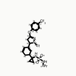 CCCNS(=O)(=O)NC1(C2C=C(C3CC(Oc4ccc(C(F)(F)F)cc4)=NN3CC)C=CC2)CC1